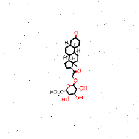 C[C@]12CCC(=O)C[C@@H]1CC[C@@H]1[C@@H]2CC[C@]2(C)[C@@H](C(=O)COC3O[C@H](C(=O)O)[C@@H](O)[C@H](O)[C@H]3O)CC[C@@H]12